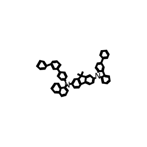 CC1(C)c2cc(N(c3ccc(-c4cccc(-c5ccccc5)c4)cc3)c3cccc4ccccc34)ccc2-c2ccc(-n3c4ccccc4c4cc(-c5ccccc5)ccc43)cc21